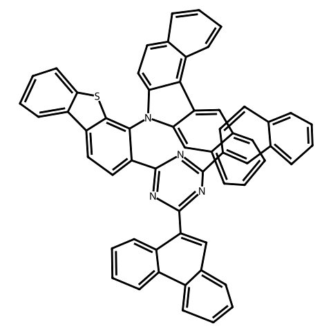 c1ccc2cc(-c3nc(-c4ccc5c(sc6ccccc65)c4-n4c5cc6ccccc6cc5c5c6ccccc6ccc54)nc(-c4cc5ccccc5c5ccccc45)n3)ccc2c1